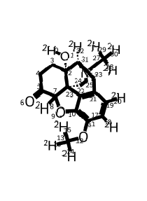 [2H]O[C@@]12CCC(=O)C3([2H])Oc4c(OC([2H])([2H])[2H])c([2H])c([2H])c5c4[C@@]31CCN(C([2H])([2H])[2H])[C@]2([2H])C5